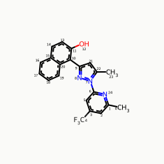 Cc1cc(C(F)(F)F)cc(-n2nc(-c3c(O)ccc4ccccc34)cc2C)n1